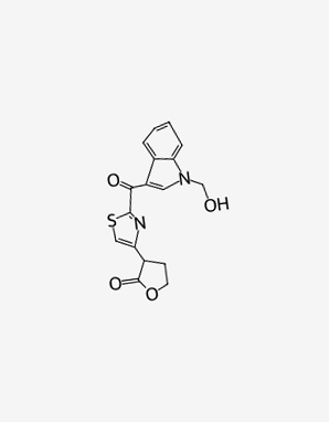 O=C(c1nc(C2CCOC2=O)cs1)c1cn(CO)c2ccccc12